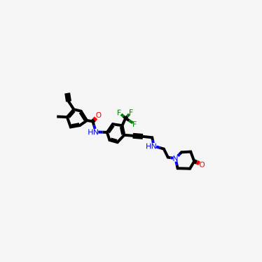 C#Cc1cc(C(=O)Nc2ccc(C#CCNCCN3CCC(=O)CC3)c(C(F)(F)F)c2)ccc1C